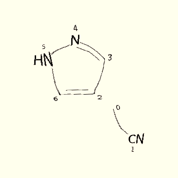 CC#N.c1cn[nH]c1